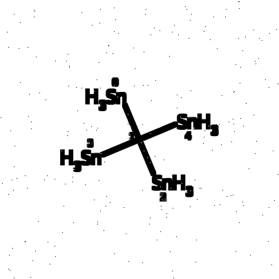 [SnH3][C]([SnH3])([SnH3])[SnH3]